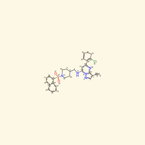 Bc1cnn2c(NCC3CCN(S(=O)(=O)c4cccc5ccccc45)CC3)cc(C3=C(Cl)CCC=C3)nc12